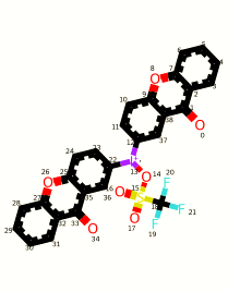 O=c1c2ccccc2oc2ccc([I+](OS(=O)(=O)C(F)(F)F)c3ccc4oc5ccccc5c(=O)c4c3)cc12